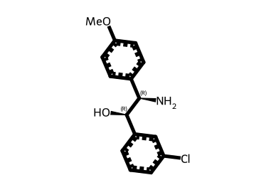 COc1ccc([C@@H](N)[C@H](O)c2cccc(Cl)c2)cc1